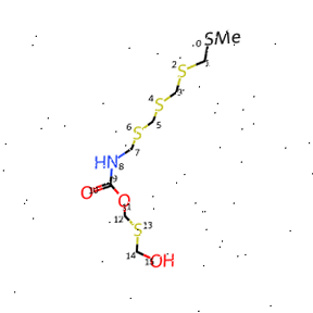 CSCSCSCSCNC(=O)OCSCO